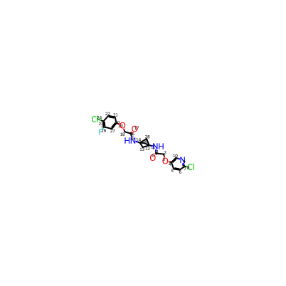 O=C(COc1ccc(Cl)nc1)NC12CC(NC(=O)COc3ccc(Cl)c(F)c3)(C1)C2